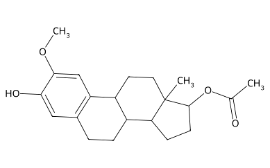 COc1cc2c(cc1O)CCC1C2CCC2(C)C(OC(C)=O)CCC12